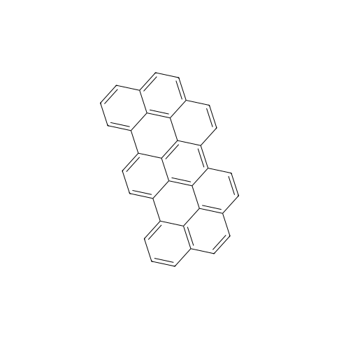 c1cc2ccc3ccc4c5ccc6ccc7cccc8c9ccc%10c(c1)c2c3c4c%10c9c5c6c78